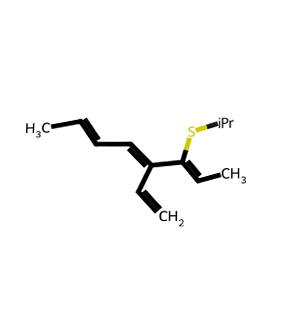 C=CC(=C\C=C\C)/C(=C/C)SC(C)C